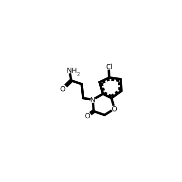 NC(=O)CCN1C(=O)COc2ccc(Cl)cc21